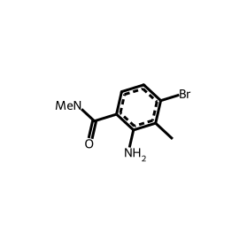 CNC(=O)c1ccc(Br)c(C)c1N